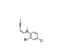 CC#C/C=C\N(C)c1ccc(Cl)cc1Br